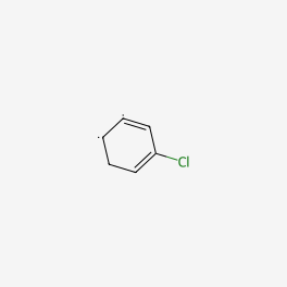 ClC1=CC[CH][C]=C1